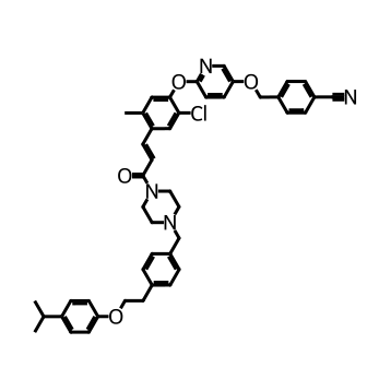 Cc1cc(Oc2ccc(OCc3ccc(C#N)cc3)cn2)c(Cl)cc1/C=C/C(=O)N1CCN(Cc2ccc(CCOc3ccc(C(C)C)cc3)cc2)CC1